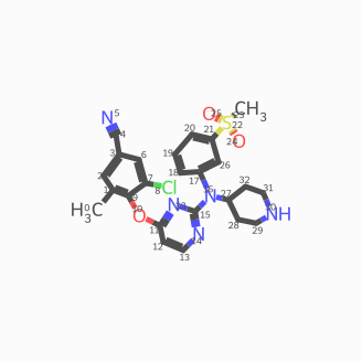 Cc1cc(C#N)cc(Cl)c1Oc1ccnc(N(c2cccc(S(C)(=O)=O)c2)C2CCNCC2)n1